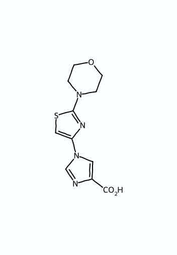 O=C(O)c1cn(-c2csc(N3CCOCC3)n2)cn1